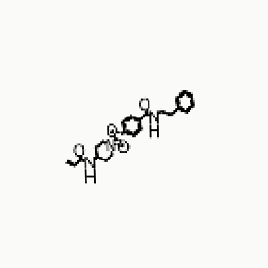 C=CC(=O)NC1CCN(S(=O)(=O)c2ccc(C(=O)NCCc3ccccc3)cc2)CC1